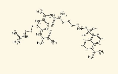 CC(NC(=O)C(CCCNC(=N)N)NC(=O)C(C)NC(=O)C(N)CCCCNCS(=O)(=O)c1cccc2c(C(C)C)cccc12)C(N)=O